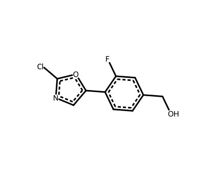 OCc1ccc(-c2cnc(Cl)o2)c(F)c1